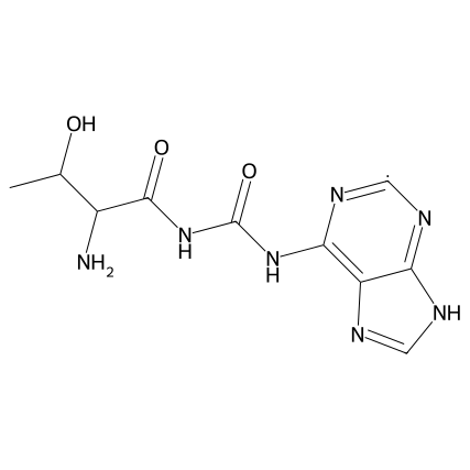 CC(O)C(N)C(=O)NC(=O)Nc1n[c]nc2[nH]cnc12